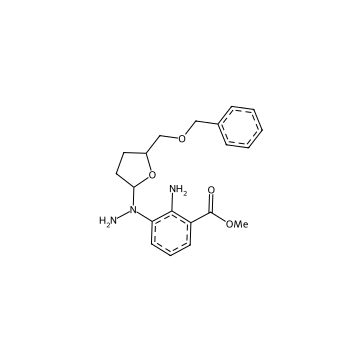 COC(=O)c1cccc(N(N)C2CCC(COCc3ccccc3)O2)c1N